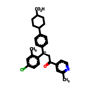 Cc1cc(C(=O)C[C@H](c2ccc(C3CCC(C(=O)O)CC3)cc2)c2ccc(Cl)cc2C)ccn1